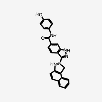 O=C(Nc1ccc(O)cc1)c1ccc2c(N3Cc4c(ccc5ccccc45)N3)n[nH]c2c1